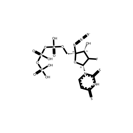 [N-]=[N+]=N[C@]1(COP(=O)(O)OP(=O)(O)OP(=O)(O)O)O[C@@H](n2ccc(=S)[nH]c2=S)C(F)[C@H]1O